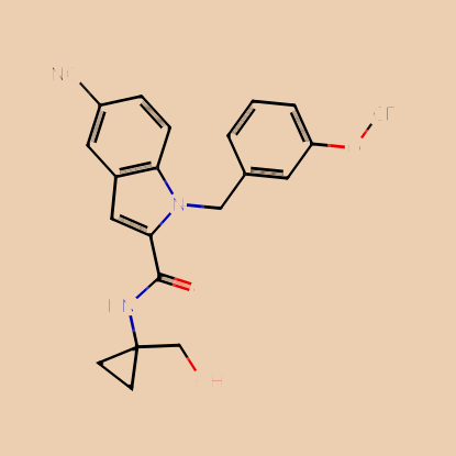 N#Cc1ccc2c(c1)cc(C(=O)NC1(CO)CC1)n2Cc1cccc(OC(F)(F)F)c1